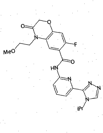 COCCN1C(=O)COc2cc(F)c(C(=O)Nc3cccc(-c4nncn4C(C)C)n3)cc21